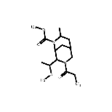 CC(OS)C1C2CC(CC(C)N2C(=O)OC(C)(C)C)CN1C(=O)CC(F)(F)F